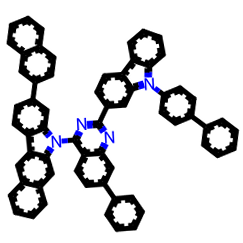 c1ccc(-c2ccc(-n3c4ccccc4c4ccc(-c5nc(-n6c7cc(-c8ccc9ccccc9c8)ccc7c7cc8ccccc8cc76)c6ccc(-c7ccccc7)cc6n5)cc43)cc2)cc1